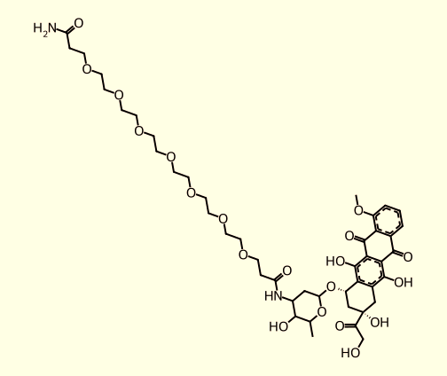 COc1cccc2c1C(=O)c1c(O)c3c(c(O)c1C2=O)C[C@@](O)(C(=O)CO)C[C@@H]3OC1CC(NC(=O)CCOCCOCCOCCOCCOCCOCCOCCC(N)=O)C(O)C(C)O1